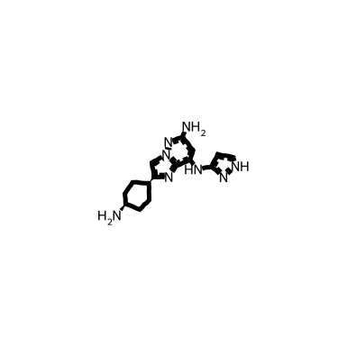 Nc1cc(Nc2cc[nH]n2)c2nc([C@H]3CC[C@H](N)CC3)cn2n1